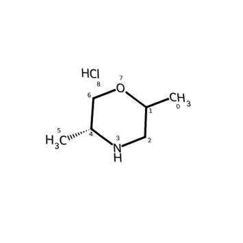 CC1CN[C@H](C)CO1.Cl